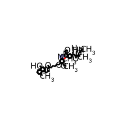 CNCOC(C)C(=O)Nc1ccc2c(c1)N(C=O)C(/C=N\c1cc(OCCCCC(=O)N3CCc4c3cc(O)c3cccc(C)c43)c(OC)cc1C)C2